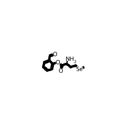 C[Se]CC[C@H](N)C(=O)Oc1ccccc1C=O